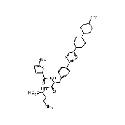 CCCC1CCC(C2CCC(c3cnc(-c4ccc(C[C@H](NC(=O)c5ccc(C(C)(C)C)s5)C(=O)N[C@@H](CCN)C(=O)O)cc4)nc3)CC2)CC1